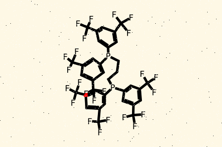 FC(F)(F)c1cc(P(CCCP(c2cc(C(F)(F)F)cc(C(F)(F)F)c2)c2cc(C(F)(F)F)cc(C(F)(F)F)c2)c2cc(C(F)(F)F)cc(C(F)(F)F)c2)cc(C(F)(F)F)c1